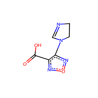 O=C(O)c1nonc1N1C=NCC1